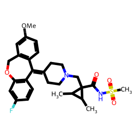 COc1ccc2c(c1)COc1cc(F)ccc1C2=C1CCN(CC2(C(=O)NS(C)(=O)=O)C(C)C2C)CC1